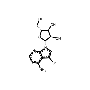 Nc1ncnc2c1c(Br)cn2[C@@H]1O[C@H](CO)[C@@H](O)[C@H]1O